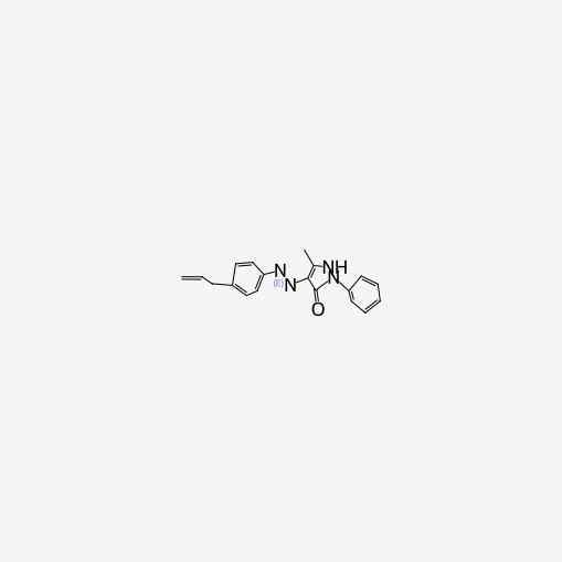 C=CCc1ccc(/N=N/c2c(C)[nH]n(-c3ccccc3)c2=O)cc1